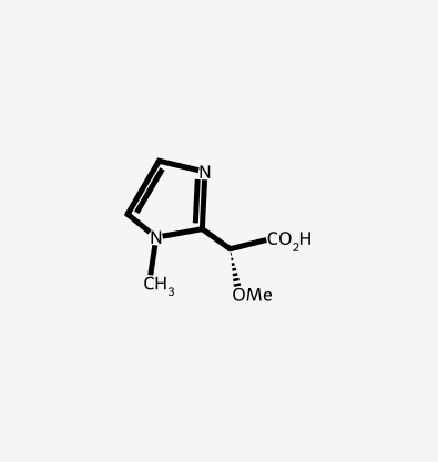 CO[C@@H](C(=O)O)c1nccn1C